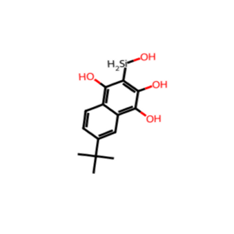 CC(C)(C)c1ccc2c(O)c([SiH2]O)c(O)c(O)c2c1